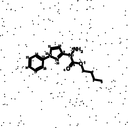 CCCCOC(=O)N(N)c1ccn(-c2ccccc2)n1